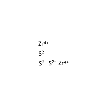 [S-2].[S-2].[S-2].[Zr+4].[Zr+4]